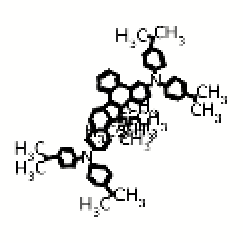 CC(C)c1ccc(N(c2ccc(C(C)C)cc2)c2ccc3c4c(ccc3c2)-c2c(c3ccc(N(c5ccc(C(C)C)cc5)c5ccc(C(C)C)cc5)cc3c3ccccc23)C4([Si](C)(C)C)[Si](C)(C)C)cc1